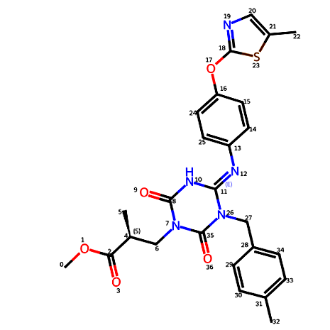 COC(=O)[C@@H](C)Cn1c(=O)[nH]/c(=N\c2ccc(Oc3ncc(C)s3)cc2)n(Cc2ccc(C)cc2)c1=O